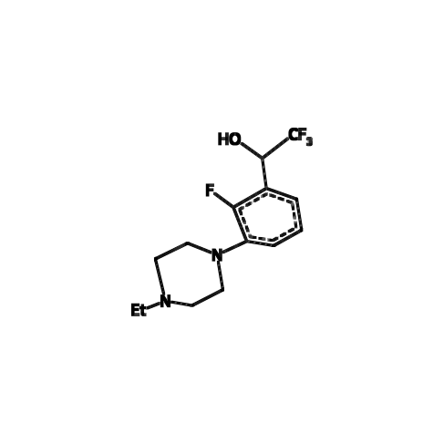 CCN1CCN(c2cccc(C(O)C(F)(F)F)c2F)CC1